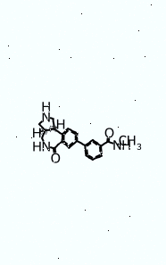 CNC(=O)c1cccc(-c2ccc3c(c2)C(=O)NC[C@@H]2CNC[C@@H]32)c1